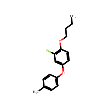 CCCCOc1ccc(Oc2ccc(C)cc2)cc1F